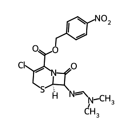 CN(C)/C=N/C1C(=O)N2C(C(=O)OCc3ccc([N+](=O)[O-])cc3)=C(Cl)CS[C@H]12